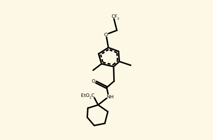 CCOC(=O)C1(NC(=O)Cc2c(C)cc(OCC(F)(F)F)cc2C)CCCCC1